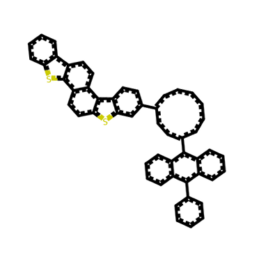 c1cccc(-c2c3ccccc3c(-c3ccccc3)c3ccccc23)ccc(-c2ccc3c(c2)sc2ccc4c(ccc5c6ccccc6sc54)c23)cc1